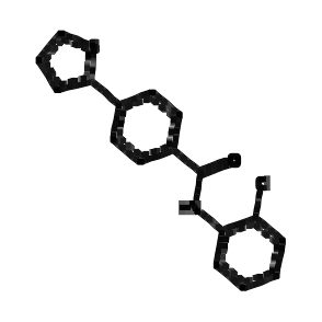 O=C(Nc1ccccc1Cl)c1ccc(-c2cccs2)cc1